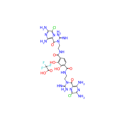 N=C(N)N(CCNC(=O)c1ccc(C(=O)NCCN(C(=N)N)C(=O)c2nc(Cl)c(N)nc2N)c(O)c1O)C(=O)c1nc(Cl)c(N)nc1N.O=C(O)C(F)(F)F